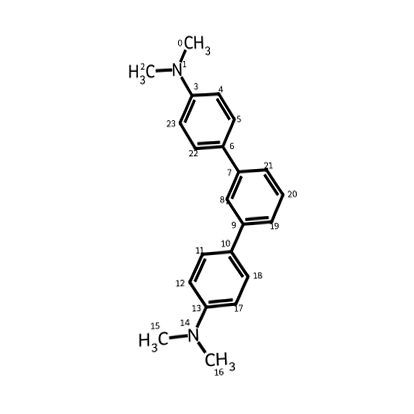 CN(C)c1ccc(-c2[c]c(-c3ccc(N(C)C)cc3)ccc2)cc1